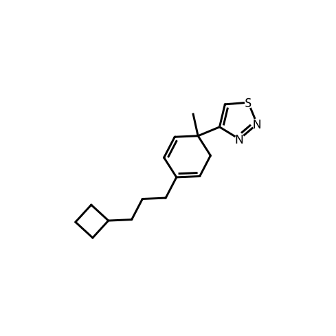 CC1(c2csnn2)C=CC(CCCC2CCC2)=CC1